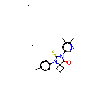 Cc1ccc(N2C(=S)N(c3cnc(C)c(C)c3)C(=O)C23CCC3)cc1